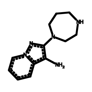 Nc1c(N2CCCNCC2)nn2ccccc12